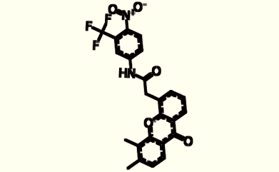 Cc1ccc2c(=O)c3cccc(CC(=O)Nc4ccc([N+](=O)[O-])c(C(F)(F)F)c4)c3oc2c1C